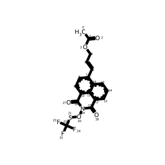 CC(=O)OC/C=C/c1ccc2c3c(cccc13)C(=O)N(OSC(F)(F)F)C2=O